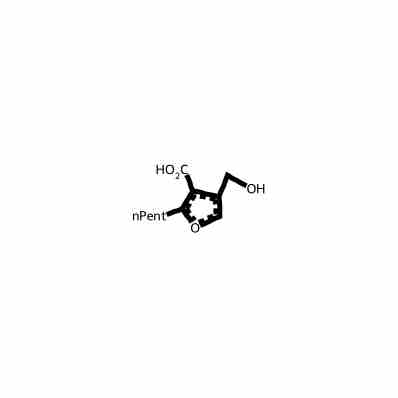 CCCCCc1occ(CO)c1C(=O)O